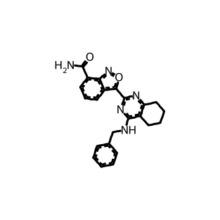 NC(=O)c1cccc2c(-c3nc4c(c(NCc5ccccc5)n3)CCCC4)onc12